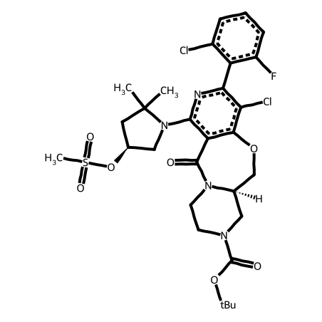 CC(C)(C)OC(=O)N1CCN2C(=O)c3c(N4C[C@@H](OS(C)(=O)=O)CC4(C)C)nc(-c4c(F)cccc4Cl)c(Cl)c3OC[C@H]2C1